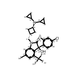 O=C1N(C[C@H]2C[C@H](N(C3CC3)C3CC3)C2)c2cc(I)cc(C(F)(F)F)c2C1(O)c1ccc(Cl)cc1Cl